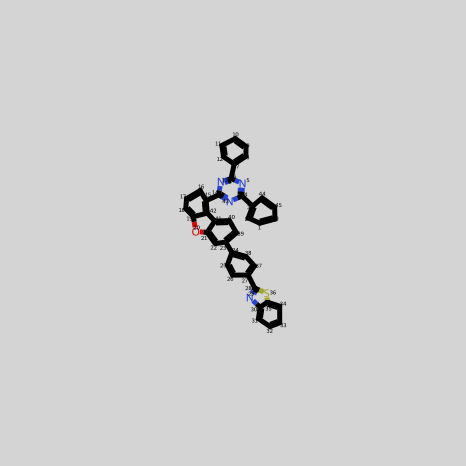 c1ccc(-c2nc(-c3ccccc3)nc(-c3cccc4oc5cc(-c6ccc(-c7nc8ccccc8s7)cc6)ccc5c34)n2)cc1